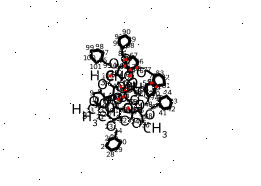 CC(=O)NC1[C@H](C)OC2COC(C)(C)O[C@H]2[C@@H]1O[C@@H]1OC(C)[C@H](OCc2ccccc2)[C@H](O[C@@H]2OC(C)[C@H](OCc3ccccc3)[C@H](OCc3ccccc3)C2O[C@@H]2OC(C)[C@H](OCc3ccccc3)[C@H](O[C@H]3O[C@@H](COCc4ccccc4)[C@@H](OCc4ccccc4)C(OCc4ccccc4)C3C)C2O)C1O